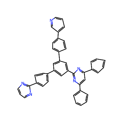 c1ccc(-c2cc(-c3ccccc3)nc(-c3cc(-c4ccc(-c5cccnc5)cc4)cc(-c4ccc(-c5ncccn5)cc4)c3)n2)cc1